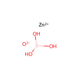 OB(O)O.[O-2].[Zn+2]